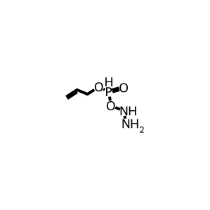 C=CCO[PH](=O)ONN